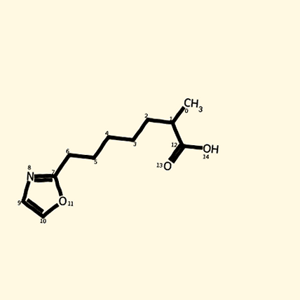 CC(CCCCCc1ncco1)C(=O)O